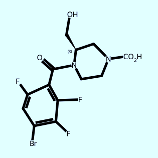 O=C(O)N1CCN(C(=O)c2c(F)cc(Br)c(F)c2F)[C@@H](CO)C1